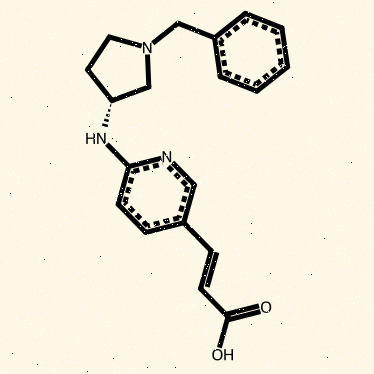 O=C(O)/C=C/c1ccc(N[C@@H]2CCN(Cc3ccccc3)C2)nc1